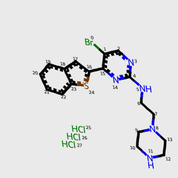 Brc1cnc(NCCN2CCNCC2)nc1-c1cc2ccccc2s1.Cl.Cl.Cl